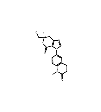 CN1C(=O)CCc2cc(-n3cnc4c3C(=O)O[C@@](C)(CO)C4)ccc21